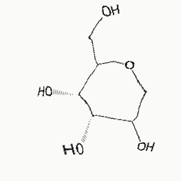 OCC1OCC(O)[C@H](O)[C@@H]1O